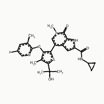 Cc1cc(F)cnc1Oc1c(-c2cn(C)c(=O)c3[nH]c(C(=O)NC4CC4)cc23)sc(C(C)(C)O)c1C